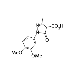 COc1ccc(N2N=C(C)C(C(=O)O)C2=O)cc1OC